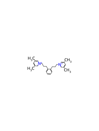 Cc1cc(C)c[n+](CCCc2ccccc2CCC[n+]2cc(C)cc(C)c2)c1